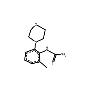 Cc1cccc(N2CCOCC2)c1NC(N)=S